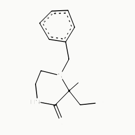 CC(C)CC1(C)C(=O)NCCN1Cc1ccccc1